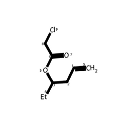 C=CCC(CC)OC(=O)CCl